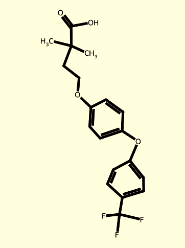 CC(C)(CCOc1ccc(Oc2ccc(C(F)(F)F)cc2)cc1)C(=O)O